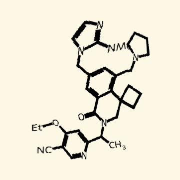 CCOc1cc(C(C)N2CC3(CCC3)c3c(CN4CCCC4)cc(Cn4ccnc4NC)cc3C2=O)ncc1C#N